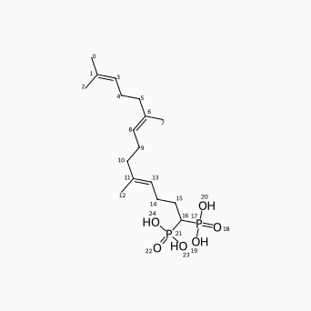 CC(C)=CCCC(C)=CCCC(C)=CCCC(P(=O)(O)O)P(=O)(O)O